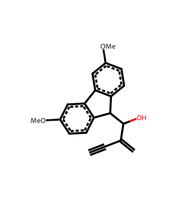 C#CC(=C)C(O)C1c2ccc(OC)cc2-c2cc(OC)ccc21